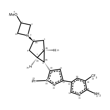 COC1CN([C@H]2C[C@@H]3[C@H](C2)[C@H]3c2cc(-c3cnc(N)c(C(F)(F)F)c3)nn2C(C)C)C1